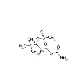 CC(C)(C)C(OS(C)(=O)=O)[C@H](F)COC(N)=O